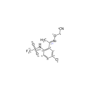 C/C(=N\OCC#N)c1cc(Cl)ccc1NS(=O)(=O)C(F)(F)F